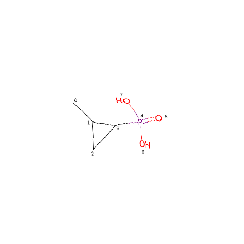 CC1CC1P(=O)(O)O